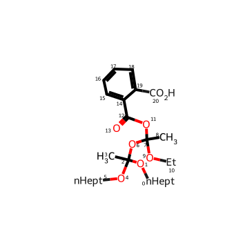 CCCCCCCOC(C)(OCCCCCCC)OC(C)(OCC)OC(=O)c1ccccc1C(=O)O